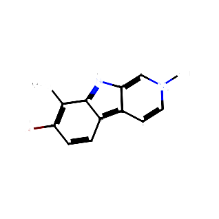 COc1c(Br)ccc2c3ccn(C)cc-3nc12